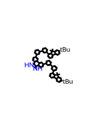 CC(C)(C)c1ccc2c(c1)C(C)(C)c1c(-c3cccc(-c4cccc(-c5ccc6c(c5)-c5cc(-c7cccc(-c8cccc(-c9cccc%10c9C(C)(C)c9cc(C(C)(C)C)ccc9-%10)c8)c7)ccc5C(=N)C6=N)c4)c3)cccc1-2